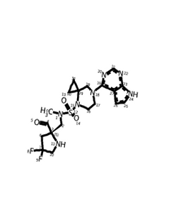 CN(C[C@]1(C=O)CC(F)(F)CN1)S(=O)(=O)N1CCN(c2ncnc3[nH]ccc23)CC12CC2